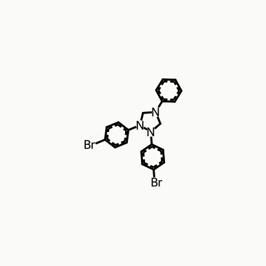 Brc1ccc(N2CN(c3ccccc3)CN2c2ccc(Br)cc2)cc1